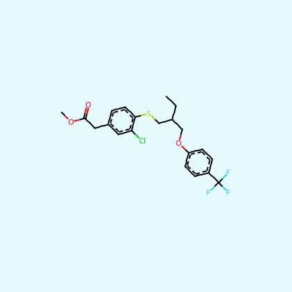 CCC(COc1ccc(C(F)(F)F)cc1)CSc1ccc(CC(=O)OC)cc1Cl